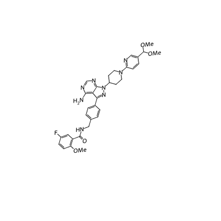 COc1ccc(F)cc1C(=O)NCc1ccc(-c2nn(C3CCN(c4ccc(C(OC)OC)cn4)CC3)c3ncnc(N)c23)cc1